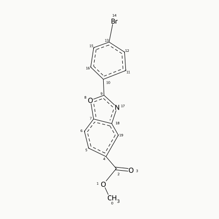 COC(=O)c1ccc2oc(-c3ccc(Br)cc3)nc2c1